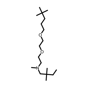 CCC(C)(C)CN(C)CCOCCOCCCC(C)(C)C